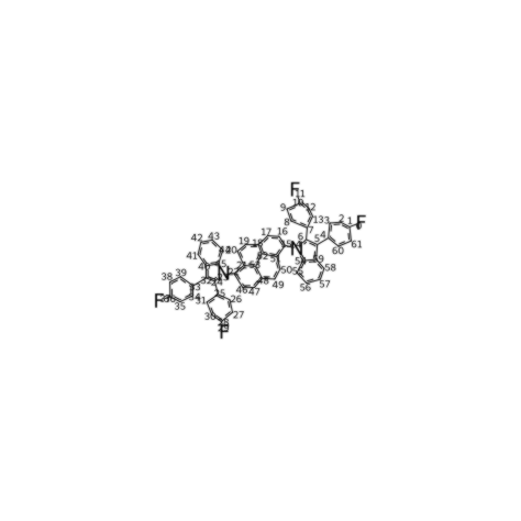 Fc1ccc(-c2c(-c3ccc(F)cc3)n(-c3ccc4ccc5c(-n6c(-c7ccc(F)cc7)c(-c7ccc(F)cc7)c7ccccc76)ccc6ccc3c4c65)c3ccccc23)cc1